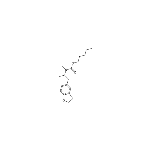 CCCCCOC(=O)N(C)C(C)Cc1ccc2c(c1)SCO2